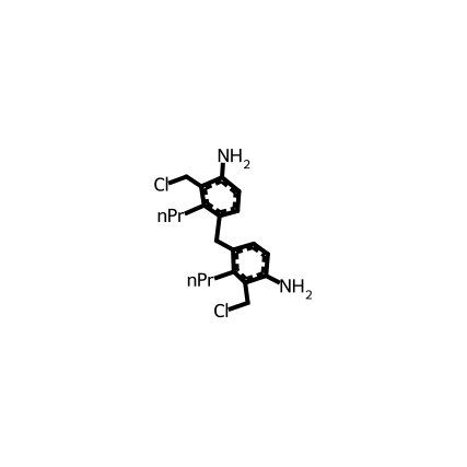 CCCc1c(Cc2ccc(N)c(CCl)c2CCC)ccc(N)c1CCl